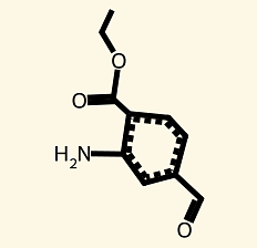 CCOC(=O)c1ccc(C=O)cc1N